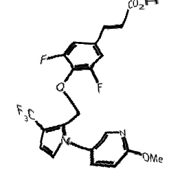 COc1ccc(-n2ccc(C(F)(F)F)c2COc2c(F)cc(CCC(=O)O)cc2F)cn1